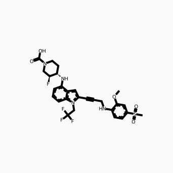 COc1cc(S(C)(=O)=O)ccc1NCC#Cc1cc2c(N[C@H]3CCN(C(=O)O)C[C@@H]3F)cccc2n1CC(F)(F)F